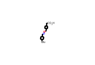 CC(C)(C)c1ccc(C=NOCc2ccc(CC(=O)O)cc2)cc1